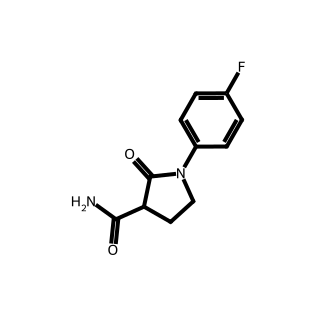 NC(=O)C1CCN(c2ccc(F)cc2)C1=O